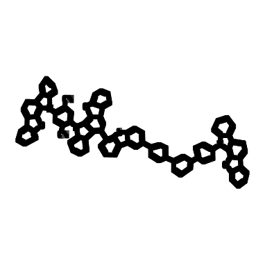 N#Cc1cc(-n2c3ccccc3c3c(-c4cccc5c4sc4ccc(-c6ccc(-c7cccc(-c8ccc(-n9c%10ccccc%10c%10ccc%11c%12ccccc%12oc%11c%109)cc8)c7)cc6)cc45)cc4c5ccccc5oc4c32)c(C#N)cc1-n1c2ccccc2c2ccc3c4ccccc4oc3c21